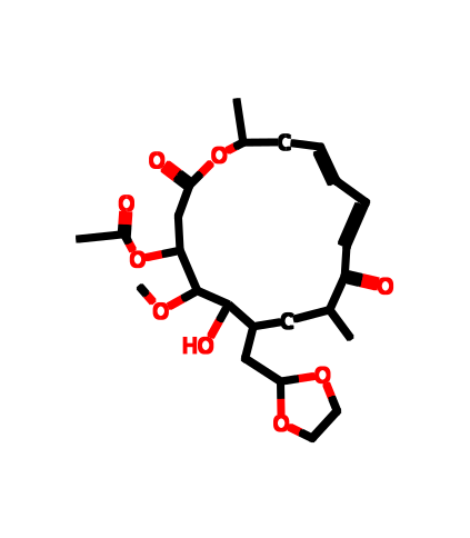 COC1C(OC(C)=O)CC(=O)OC(C)C/C=C/C=C/C(=O)C(C)CC(CC2OCCO2)C1O